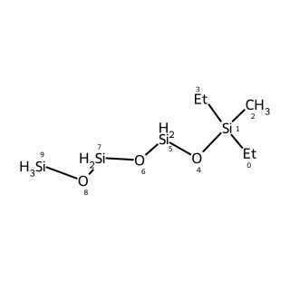 CC[Si](C)(CC)O[SiH2]O[SiH2]O[SiH3]